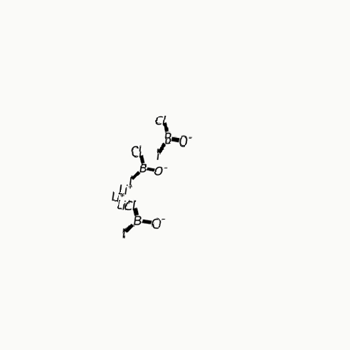 [Li+].[Li+].[Li+].[O-]B(Cl)I.[O-]B(Cl)I.[O-]B(Cl)I